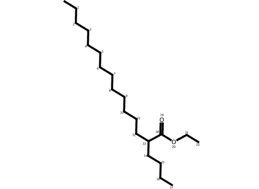 CCCCCCCCCCCCCC(CCCC)C(=O)OCC